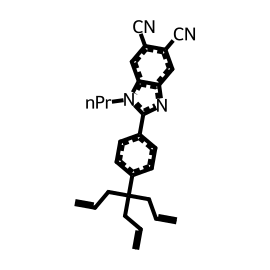 C=CCC(CC=C)(CC=C)c1ccc(-c2nc3cc(C#N)c(C#N)cc3n2CCC)cc1